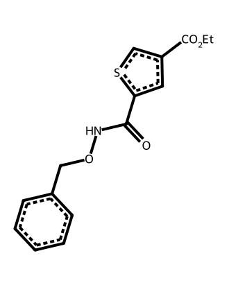 CCOC(=O)c1csc(C(=O)NOCc2ccccc2)c1